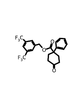 O=C1CCC(C(=O)OCc2cc(C(F)(F)F)cc(C(F)(F)F)c2)(c2ccccc2)CC1